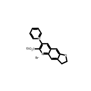 CCOC(=O)c1nc2cc3c(cc2cc1-[n+]1ccccc1)OCC3.[Br-]